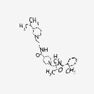 Cc1ccccc1C1=NC(C)(CN2CCC(C(=O)NCCCN3CCCC(C(C)C)C3)CC2)C(C)O1